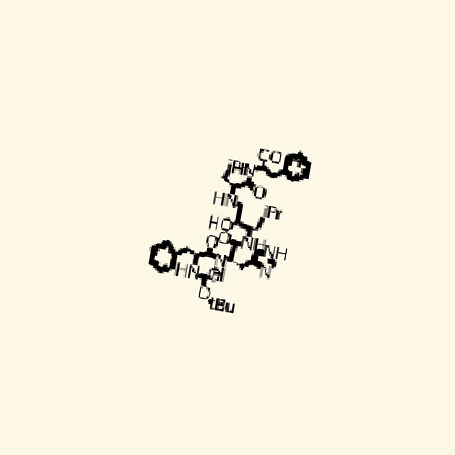 CC(C)C[C@H](NCC(O)[C@H](CC(C)C)NC(=O)[C@H](Cc1c[nH]cn1)NC(=O)[C@H](Cc1ccccc1)NC(=O)OC(C)(C)C)C(=O)N[C@@H](Cc1ccccc1)C(=O)O